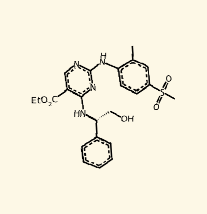 CCOC(=O)c1cnc(Nc2ccc(S(C)(=O)=O)cc2C)nc1N[C@H](CO)c1ccccc1